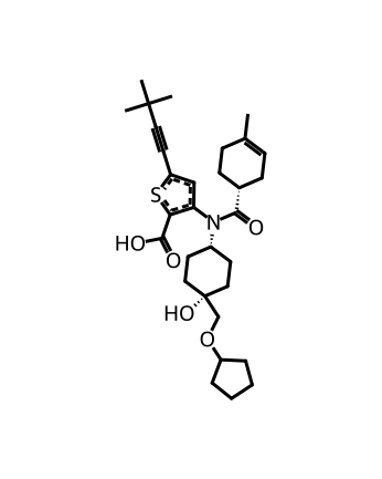 CC1=CC[C@H](C(=O)N(c2cc(C#CC(C)(C)C)sc2C(=O)O)[C@H]2CC[C@](O)(COC3CCCC3)CC2)CC1